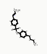 O=C(O)/C=C/c1ccc(C(F)(F)Oc2ccc(CCCC(F)(F)F)cc2)cc1